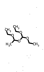 CCO[C](OCC)OC(C)OCC